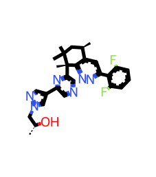 C[C@@H]1CC(C)(C)[C@@](C)(c2cncc(-c3cnn(C[C@@H](C)O)c3)n2)c2nnc(-c3c(F)cccc3F)cc21